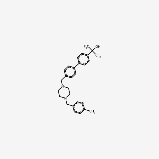 Cc1ccc(CN2CCN(Cc3ccc(-c4ccc(C(O)(C(F)(F)F)C(F)(F)F)cc4)cc3)CC2)cn1